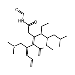 C=C/C=C(CN(C)C)\C(C(=C)C)=C(/CC(=O)NC=O)C(CC)C(CC)CC(C)C